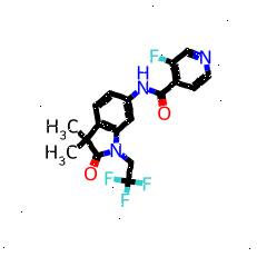 CC1(C)C(=O)N(CC(F)(F)F)c2cc(NC(=O)c3ccncc3F)ccc21